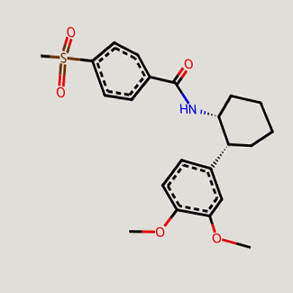 COc1ccc([C@H]2CCCC[C@H]2NC(=O)c2ccc(S(C)(=O)=O)cc2)cc1OC